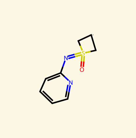 O=S1(=Nc2ccccn2)C[CH]C1